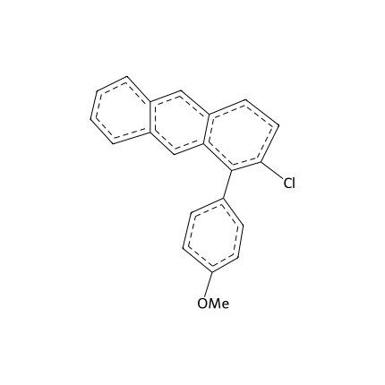 COc1ccc(-c2c(Cl)ccc3cc4ccccc4cc23)cc1